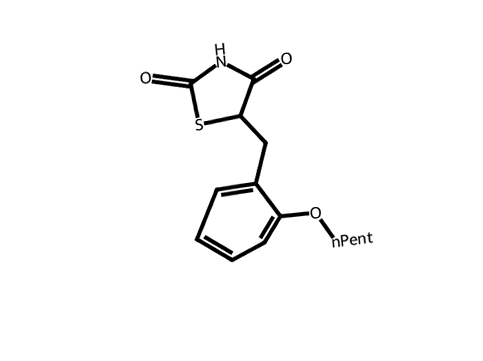 CCCCCOc1ccccc1CC1SC(=O)NC1=O